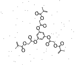 C=C(C)C(=O)OCC(=O)Oc1cc(OC(=O)COC(=O)C(=C)C)cc(OC(=O)COC(=O)C(=C)C)c1